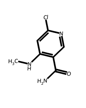 CNc1cc(Cl)ncc1C(N)=O